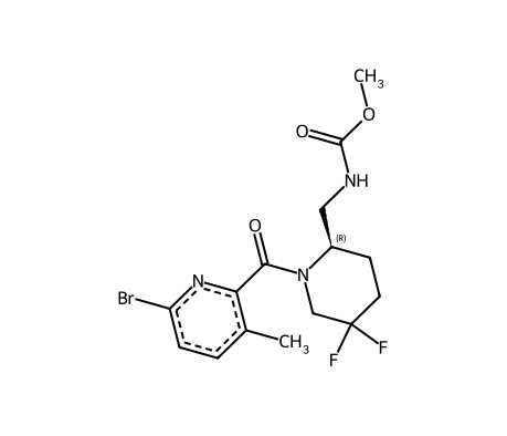 COC(=O)NC[C@H]1CCC(F)(F)CN1C(=O)c1nc(Br)ccc1C